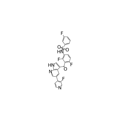 O=C(c1c(F)ccc(NS(=O)(=O)c2cccc(F)c2)c1F)c1c[nH]c2ncc(-c3ccncc3F)cc12